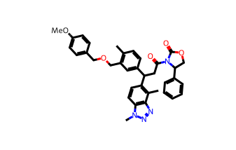 COc1ccc(COCc2cc(C(CC(=O)N3C(=O)OCC3c3ccccc3)c3ccc4c(nnn4C)c3C)ccc2C)cc1